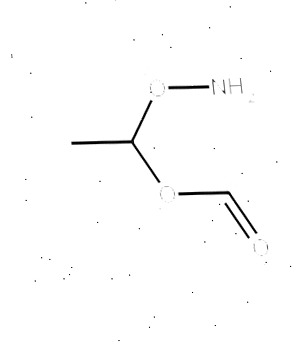 CC(ON)OC=O